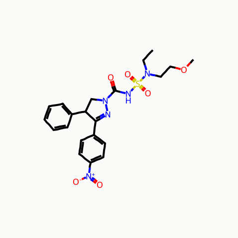 CCN(CCOC)S(=O)(=O)NC(=O)N1CC(c2ccccc2)C(c2ccc([N+](=O)[O-])cc2)=N1